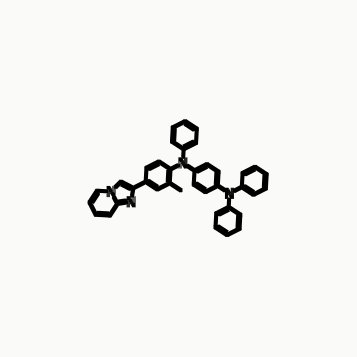 Cc1cc(-c2cn3ccccc3n2)ccc1N(c1ccccc1)c1ccc(N(c2ccccc2)c2ccccc2)cc1